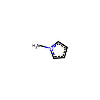 [SiH3]n1cccc1